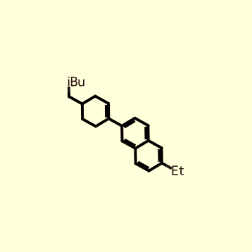 CCc1ccc2cc(C3=CCC(CC(C)CC)CC3)ccc2c1